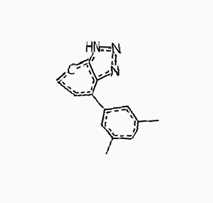 Cc1cc(C)cc(-c2cccc3[nH]nnc23)c1